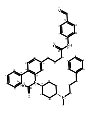 CN(CCCc1ccccc1)[C@H]1CC[C@H](N(C(=O)O)c2cc(CCCC(=O)Nc3ccc(C=O)cc3)ccc2-c2ccccc2)CC1